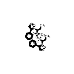 CCC(n1nncc1-c1ccccc1)[Si](C)(C)O[Si](C)(C)C(CC)n1nncc1-c1ccccc1